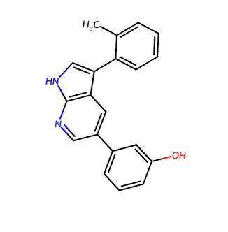 Cc1ccccc1-c1c[nH]c2ncc(-c3cccc(O)c3)cc12